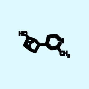 Cc1cc(C2CC3CC(O)C2O3)ccn1